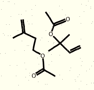 C=C(C)CCOC(C)=O.C=CC(C)(C)OC(C)=O